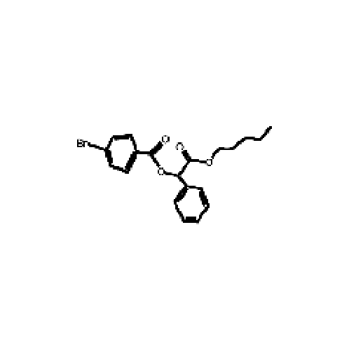 CCCCCOC(=O)C(OC(=O)c1ccc(Br)cc1)c1ccccc1